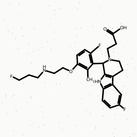 Cc1c(OCCNCCCF)ccc(F)c1C1c2[nH]c3ccc(F)cc3c2CCN1CCC(=O)O